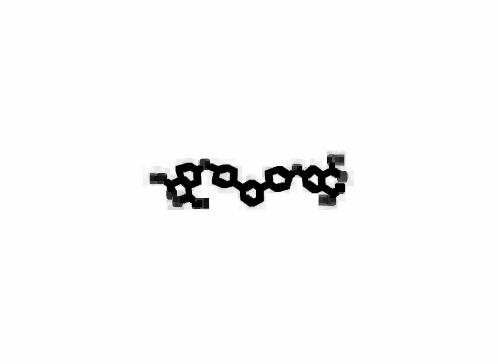 O=C(O)c1ccc(Oc2ccc(-c3cccc(-c4ccc(Oc5ccc(C(=O)O)c(C(=O)O)c5)cc4)c3)cc2)cc1C(=O)O